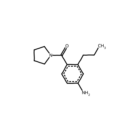 CCCc1cc(N)ccc1C(=O)N1CCCC1